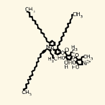 CCCCCCCCCCCC=CCCCc1ccccc1N=C(C#CCCCCCCCCCCCCCCCCCC)C(CCCC)=Nc1ccccc1CCCC=CCCCCCCCCCCC.CCc1ccc(O)c(O)c1C(=O)[O-].CCc1ccc(O)c(O)c1C(=O)[O-].[Ni+2]